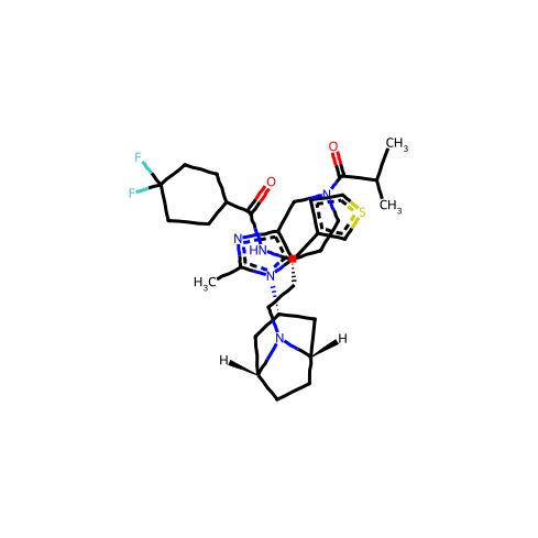 Cc1nc2c(n1[C@H]1C[C@H]3CC[C@@H](C1)N3CC[C@H](NC(=O)C1CCC(F)(F)CC1)c1ccsc1)CCN(C(=O)C(C)C)C2